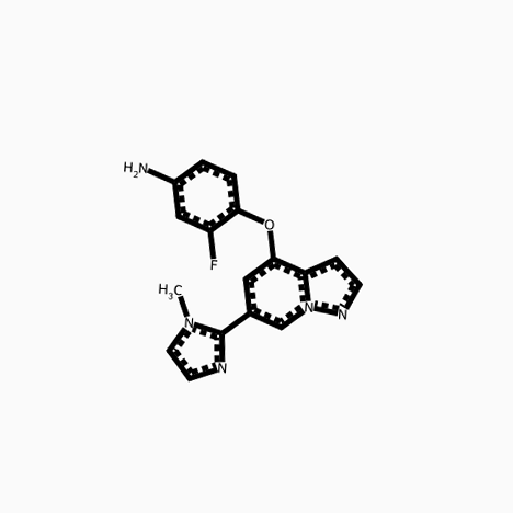 Cn1ccnc1-c1cc(Oc2ccc(N)cc2F)c2ccnn2c1